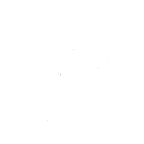 COc1ccc(O)c(C(C(=O)O)N(CCN(CC(=O)I)C(C(=O)O)c2cc(OC)ccc2O)CC(=O)O)c1